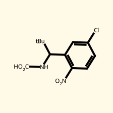 CC(C)(C)C(NC(=O)O)c1cc(Cl)ccc1[N+](=O)[O-]